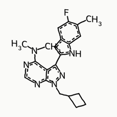 Cc1cc2[nH]c(-c3nn(CC4CCC4)c4ncnc(N(C)C)c34)cc2cc1F